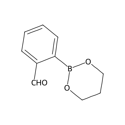 O=Cc1ccccc1B1OCCCO1